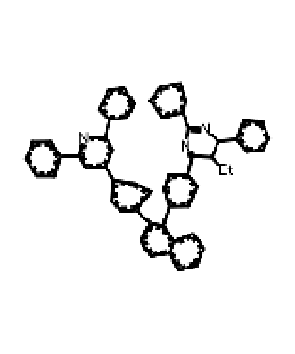 CCC1C(c2ccc(-c3c(-c4ccc(-c5cc(-c6ccccc6)nc(-c6ccccc6)c5)cc4)ccc4ccccc34)cc2)=NC(c2ccccc2)=NC1c1ccccc1